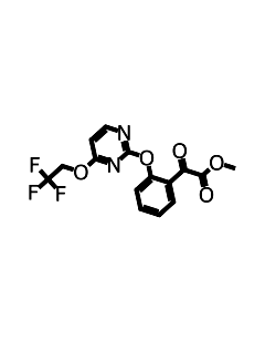 COC(=O)C(=O)c1ccccc1Oc1nccc(OCC(F)(F)F)n1